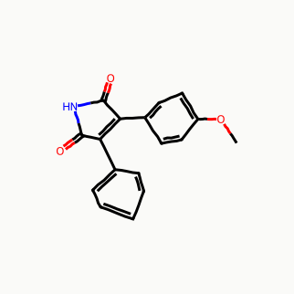 COc1ccc(C2=C(c3ccccc3)C(=O)NC2=O)cc1